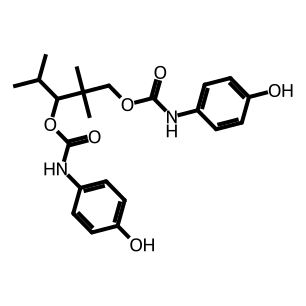 CC(C)C(OC(=O)Nc1ccc(O)cc1)C(C)(C)COC(=O)Nc1ccc(O)cc1